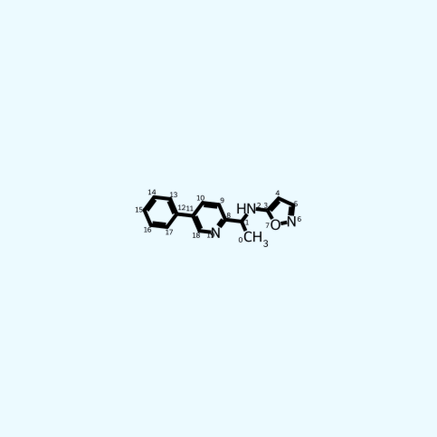 CC(Nc1ccno1)c1ccc(-c2ccccc2)cn1